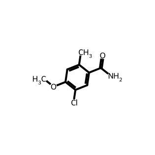 COc1cc(C)c(C(N)=O)cc1Cl